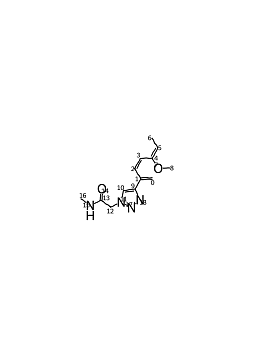 C=C(/C=C\C(=C/C)OC)c1cn(CC(=O)NC)nn1